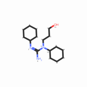 NC(=NC1CCCCC1)N(CCCO)C1CCCCC1